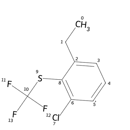 CCc1cc[c]c(Cl)c1SC(F)(F)F